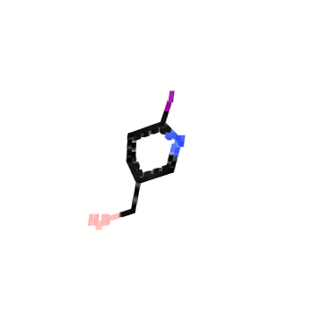 BCc1ccc(I)nc1